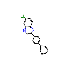 Clc1ccc2nc(-c3ccc(-c4ccccc4)cc3)cnc2c1